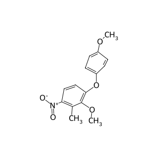 COc1ccc(Oc2ccc([N+](=O)[O-])c(C)c2OC)cc1